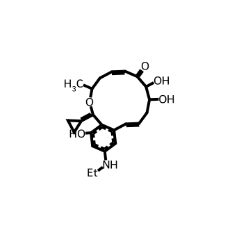 CCNc1cc(O)c2c(c1)/C=C/CC(O)C(O)C(=O)/C=C\CC(C)OC2=C1CC1